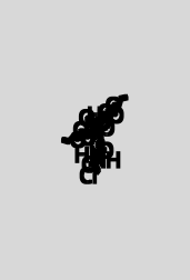 C=CCOC(=O)OC1=C(COC(=O)NNC(=O)CCl)C2OCN(OC(=O)OCC=C)[C@@H]3C(=O)N1[C@H]23